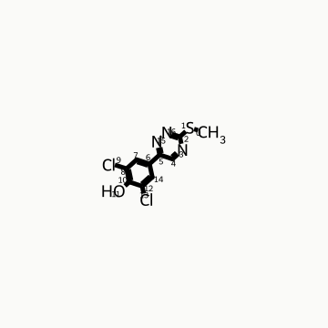 CSc1ncc(-c2cc(Cl)c(O)c(Cl)c2)nn1